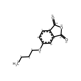 CCCCOc1ccc2c(c1)C(=O)OC2=O